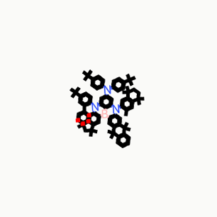 Cc1cc2c(cc1N1c3cc4c(cc3B3c5cc6c(cc5N(c5ccc(C(C)(C)C)cc5-c5ccccc5)c5cc(N(c7ccc(C(C)(C)C)cc7)c7ccc(C(C)(C)C)cc7)cc1c53)C(C)(C)CC6(C)C)C(C)(C)c1ccccc1C4(C)C)C(C)(C)CCC2(C)C